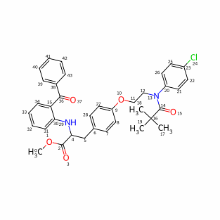 COC(=O)C(Cc1ccc(OCCN(C(=O)C(C)(C)C)c2ccc(Cl)cc2)cc1)Nc1ccccc1C(=O)c1ccccc1